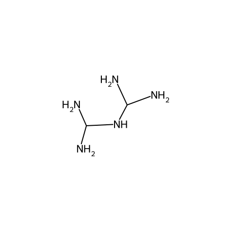 NC(N)NC(N)N